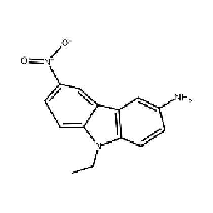 CCn1c2ccc(N)cc2c2cc([N+](=O)[O-])ccc21